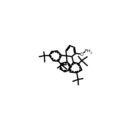 CC(C)(C)c1ccc(C2C(OP)=CC=CC2(c2ccccc2)c2ccc(C(C)(C)C)cc2C(C)(C)C)c(C(C)(C)C)c1